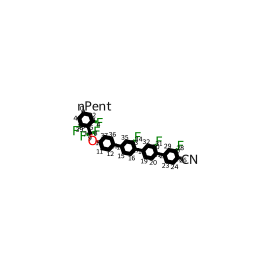 CCCCCc1cc(F)c(C(F)(F)Oc2ccc(-c3ccc(-c4ccc(-c5ccc(C#N)c(F)c5)c(F)c4)c(F)c3)cc2)c(F)c1